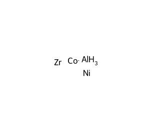 [AlH3].[Co].[Ni].[Zr]